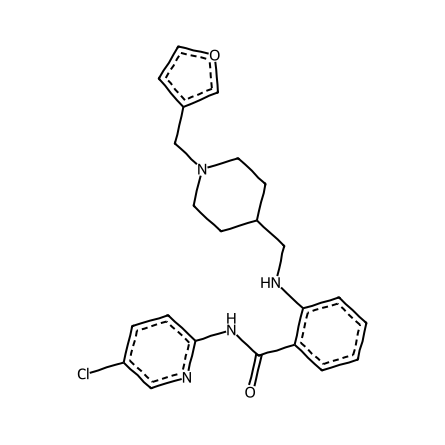 O=C(Nc1ccc(Cl)cn1)c1ccccc1NCC1CCN(Cc2ccoc2)CC1